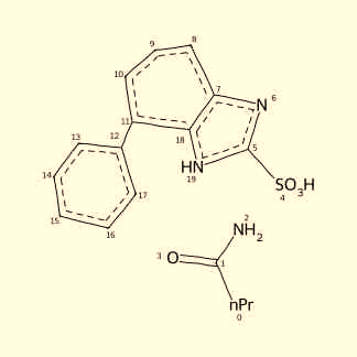 CCCC(N)=O.O=S(=O)(O)c1nc2cccc(-c3ccccc3)c2[nH]1